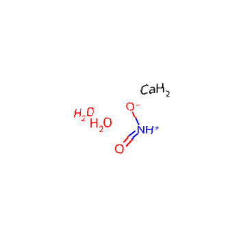 O.O.O=[NH+][O-].[CaH2]